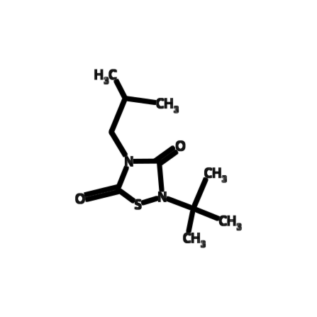 CC(C)Cn1c(=O)sn(C(C)(C)C)c1=O